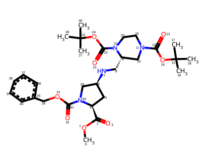 COC(=O)[C@@H]1C[C@H](NC[C@H]2CN(C(=O)OC(C)(C)C)CCN2C(=O)OC(C)(C)C)CN1C(=O)OCc1ccccc1